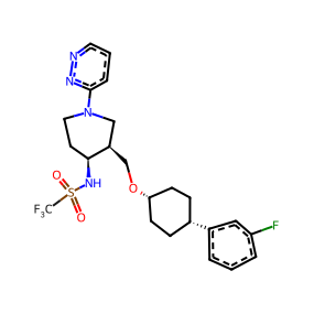 O=S(=O)(N[C@H]1CCN(c2cccnn2)C[C@H]1CO[C@H]1CC[C@@H](c2cccc(F)c2)CC1)C(F)(F)F